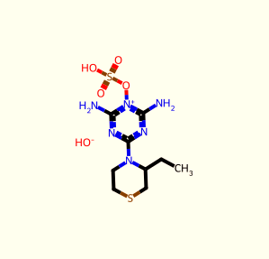 CCC1CSCCN1c1nc(N)[n+](OS(=O)(=O)O)c(N)n1.[OH-]